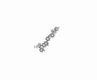 Cc1cccc(-c2[nH]cnc2-c2ccc3ncc(-c4ccc(CN5CCC[C@@H](C(=O)O[C@H]6CCN(C)C6)C5)cc4)cc3c2)n1